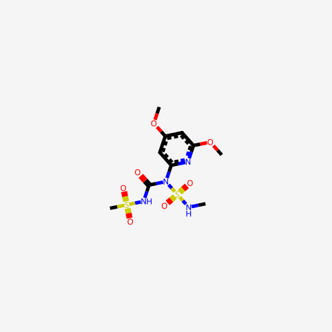 CNS(=O)(=O)N(C(=O)NS(C)(=O)=O)c1cc(OC)cc(OC)n1